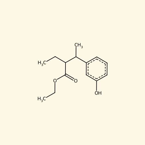 CCOC(=O)C(CC)C(C)c1cccc(O)c1